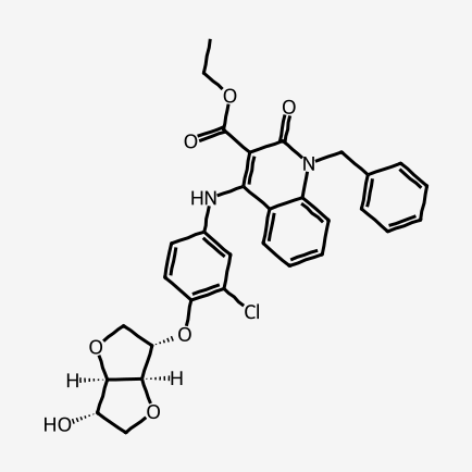 CCOC(=O)c1c(Nc2ccc(O[C@H]3CO[C@H]4[C@@H]3OC[C@@H]4O)c(Cl)c2)c2ccccc2n(Cc2ccccc2)c1=O